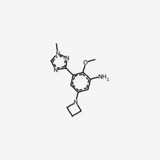 COc1c(N)cc(N2CCC2)cc1-c1ncn(C)n1